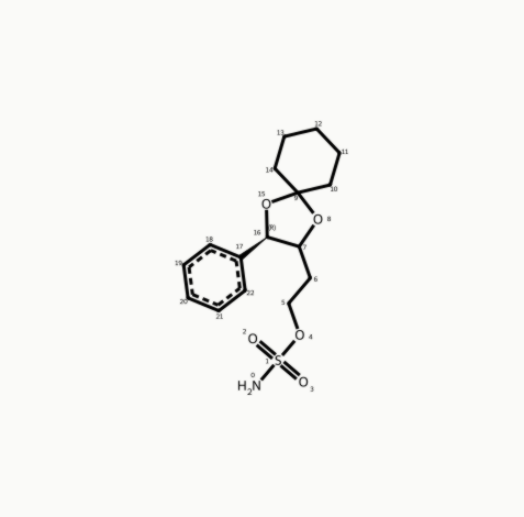 NS(=O)(=O)OCCC1OC2(CCCCC2)O[C@@H]1c1ccccc1